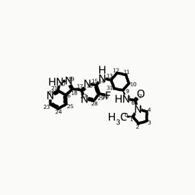 C[C@@H]1CCCN1C(=O)N[C@@H]1CCCC(Nc2nc(-c3n[nH]c4ncccc34)ncc2F)C1